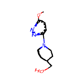 COc1ccc(N2CCC(CO)CC2)nn1